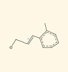 Cc1ccccc1/C=C/C[O]